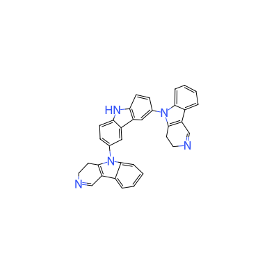 C1=NCCc2c1c1ccccc1n2-c1ccc2[nH]c3ccc(-n4c5c(c6ccccc64)C=NCC5)cc3c2c1